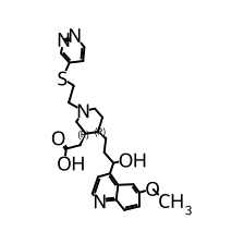 COc1ccc2nccc(C(O)CC[C@@H]3CCN(CCSc4ccnnc4)C[C@@H]3CC(=O)O)c2c1